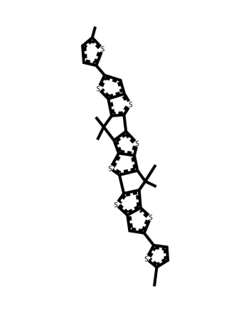 Cc1ccc(-c2cc3sc4c(c3s2)C(C)(C)c2c-4sc3c4c(sc23)-c2sc3cc(-c5ccc(C)s5)sc3c2C4(C)C)s1